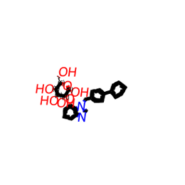 OC[C@@H]1O[C@@H](O)[C@](O)(Oc2cccc3ncn(Cc4ccc(-c5ccccc5)cc4)c23)[C@H](O)[C@H]1O